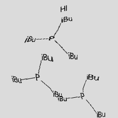 CCC(C)P(C(C)CC)C(C)CC.CCC(C)P(C(C)CC)C(C)CC.CCC(C)P(C(C)CC)C(C)CC.I